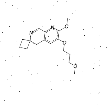 COCCCOc1cc2c(nc1OC)C=NC1(CCC1)C2